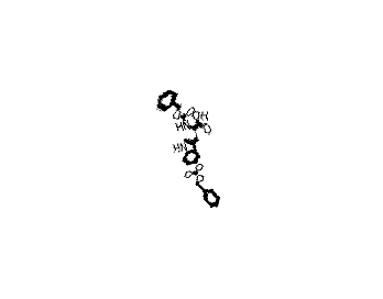 O=C(N[C@@H](Cc1c[nH]c2ccc(OC(=O)OCc3ccccc3)cc12)C(=O)O)OCc1ccccc1